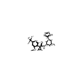 COc1cc(C(F)(F)F)ncc1C1(C(=O)N[C@@H]2C[C@H](C)CN(c3nnn[nH]3)C2)CC1